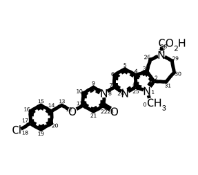 Cn1c2c(c3ccc(-n4ccc(OCc5ccc(Cl)cc5)cc4=O)nc31)CN(C(=O)O)CCC2